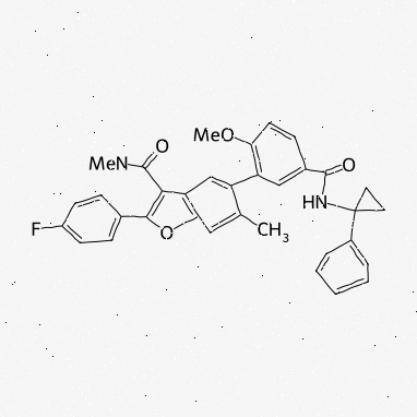 CNC(=O)c1c(-c2ccc(F)cc2)oc2cc(C)c(-c3cc(C(=O)NC4(c5ccccc5)CC4)ccc3OC)cc12